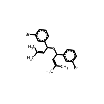 CC(C)=CC(SC(C=C(C)C)c1cccc(Br)c1)c1cccc(Br)c1